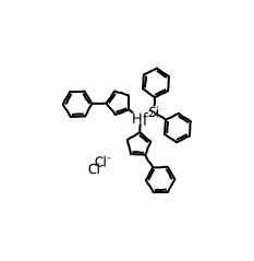 C1=C(c2ccccc2)C=[C]([Hf+2]([C]2=CC(c3ccccc3)=CC2)=[Si](c2ccccc2)c2ccccc2)C1.[Cl-].[Cl-]